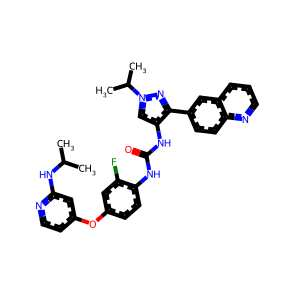 CC(C)Nc1cc(Oc2ccc(NC(=O)Nc3cn(C(C)C)nc3-c3ccc4ncccc4c3)c(F)c2)ccn1